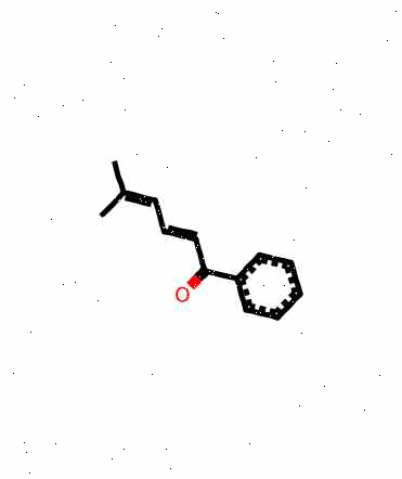 CC(C)=CC=CC(=O)c1ccccc1